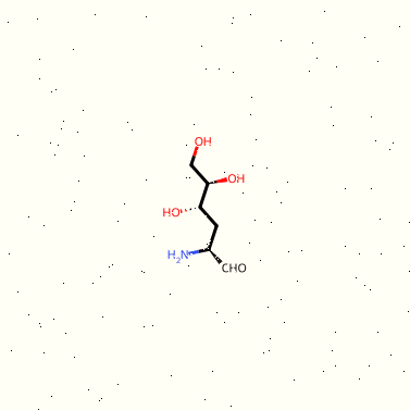 N[C@H](C=O)C[C@H](O)[C@H](O)CO